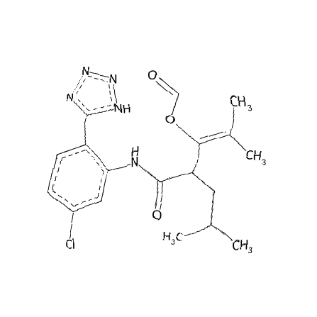 CC(C)=C(OC=O)C(CC(C)C)C(=O)Nc1cc(Cl)ccc1-c1nnn[nH]1